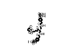 O=C(Cc1ccc(OP(=O)(O)O)cc1)NCCN(CCNC(=O)Cc1ccc(OP(=O)(O)O)cc1)C(=O)CCCC(=O)ON1C(=O)CCC1=O